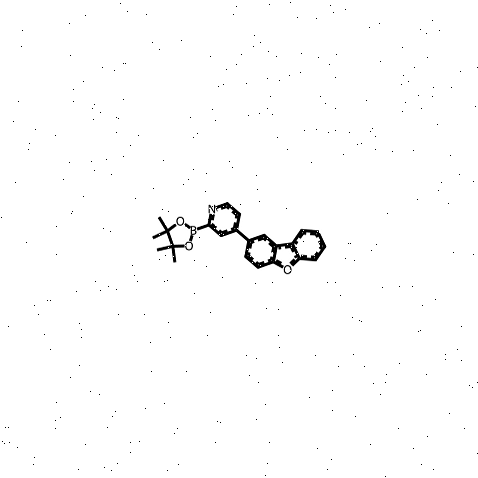 CC1(C)OB(c2cc(-c3ccc4oc5ccccc5c4c3)ccn2)OC1(C)C